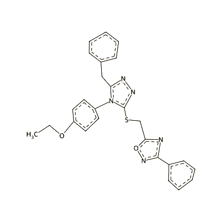 CCOc1ccc(-n2c(Cc3ccccc3)nnc2SCc2nc(-c3ccccc3)no2)cc1